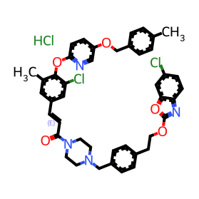 Cc1ccc(COc2ccc(Oc3c(C)cc(/C=C/C(=O)N4CCN(Cc5ccc(CCOc6nc7ccc(Cl)cc7o6)cc5)CC4)cc3Cl)nc2)cc1.Cl